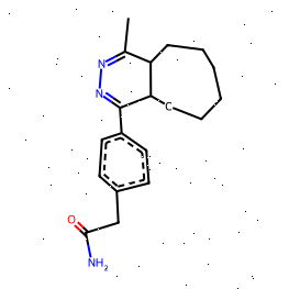 CC1=NN=C(c2ccc(CC(N)=O)cc2)C2CCCCCCC12